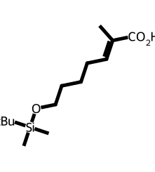 CC(=CCCCCO[Si](C)(C)C(C)(C)C)C(=O)O